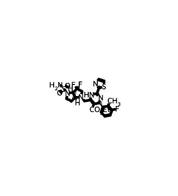 CCOC(=O)C1=C(CN2CC(F)(F)[C@H]3[C@@H]2CCN3S(N)(=O)=O)NC(c2nccs2)=N[C@H]1c1cccc(F)c1C